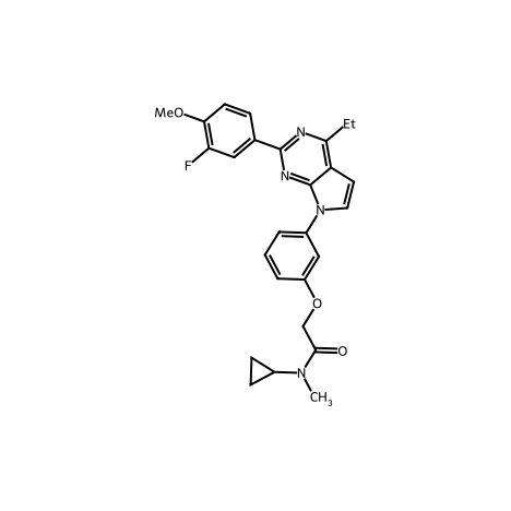 CCc1nc(-c2ccc(OC)c(F)c2)nc2c1ccn2-c1cccc(OCC(=O)N(C)C2CC2)c1